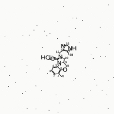 Cc1cccc2c1OCC1CN(Cc3nc[nH]c3C)C(=O)N21.Cl